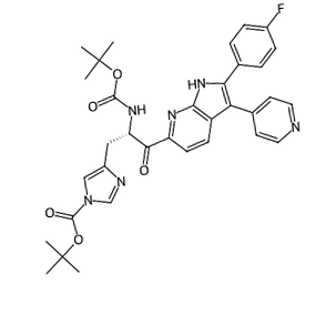 CC(C)(C)OC(=O)N[C@@H](Cc1cn(C(=O)OC(C)(C)C)cn1)C(=O)c1ccc2c(-c3ccncc3)c(-c3ccc(F)cc3)[nH]c2n1